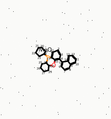 COc1ccc(-c2cccc3ccccc23)c2c1P(C1CCCCC1)C1CCCCC1O2